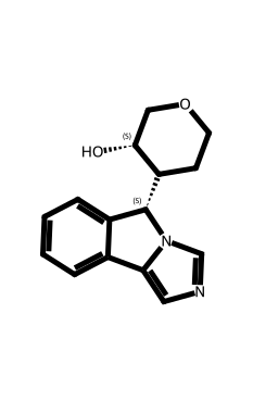 O[C@@H]1COCCC1[C@H]1c2ccccc2-c2cncn21